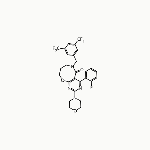 O=C1c2c(nc(N3CCOCC3)nc2-c2ccccc2F)OCCCN1Cc1cc(C(F)(F)F)cc(C(F)(F)F)c1